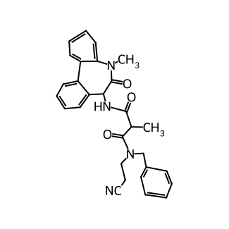 CC(C(=O)NC1C(=O)N(C)c2ccccc2-c2ccccc21)C(=O)N(CCC#N)Cc1ccccc1